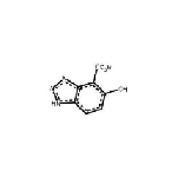 O=C(O)c1c(O)ccc2[nH]nnc12